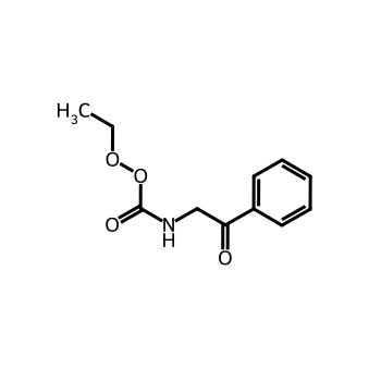 CCOOC(=O)NCC(=O)c1ccccc1